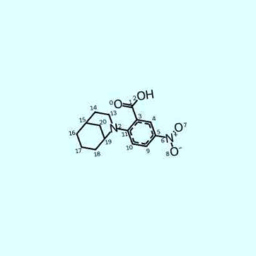 O=C(O)c1cc([N+](=O)[O-])ccc1N1CCC2CCCC1C2